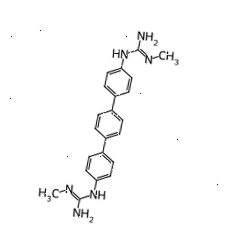 CN=C(N)Nc1ccc(-c2ccc(-c3ccc(NC(N)=NC)cc3)cc2)cc1